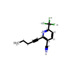 CCCC#Cc1nc(C(F)(F)F)ccc1C#N